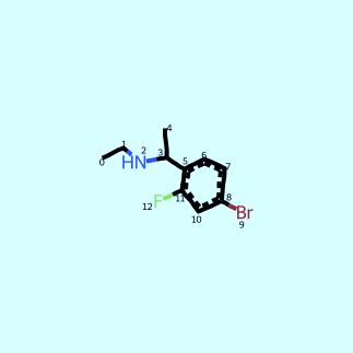 CCNC(C)c1ccc(Br)cc1F